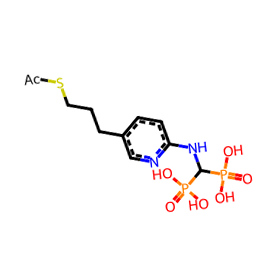 CC(=O)SCCCc1ccc(NC(P(=O)(O)O)P(=O)(O)O)nc1